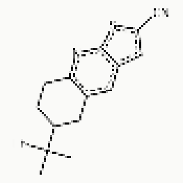 CCC(C)(C)C1CCc2nc3sc(C#N)cc3cc2C1